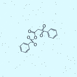 O=C(CS(=O)(=O)c1ccccc1)OS(=O)(=O)c1ccccc1